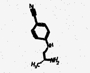 C[C@@H](N)CNc1ccc(C#N)cc1